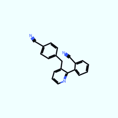 N#Cc1ccc(Cc2cccnc2-c2ccccc2C#N)cc1